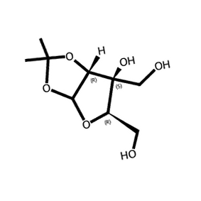 CC1(C)OC2O[C@H](CO)[C@@](O)(CO)[C@H]2O1